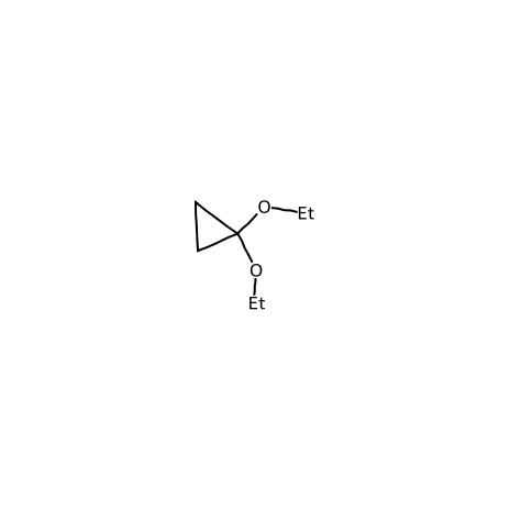 CCOC1(OCC)CC1